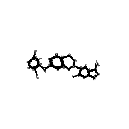 Cc1cc2nnc(C(F)(F)F)n2nc1N1CCc2ncc(Oc3cc(F)ccc3F)cc2C1